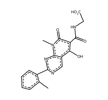 Cc1ccccc1-c1ncc2c(O)c(C(=O)NCC(=O)O)c(=O)n(C)c2n1